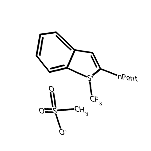 CCCCCc1cc2ccccc2[s+]1C(F)(F)F.CS(=O)(=O)[O-]